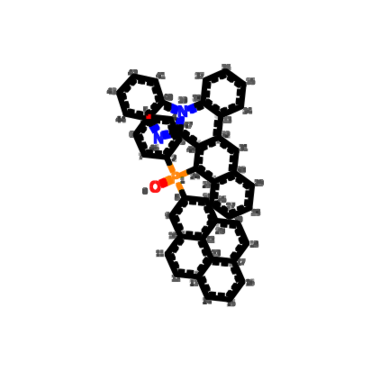 O=P(c1ccccc1)(c1cc2ccc3cccc4ccc(c1)c2c34)c1c2ccccc2cc2c3ccccc3n3c4ccccc4nc3c12